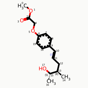 COC(=O)COc1ccc(/C=C/C[C@@H](C)[C@H](C)O)cc1